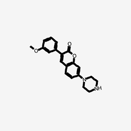 COc1cccc(-c2cc3ccc(N4CCNCC4)cc3oc2=O)c1